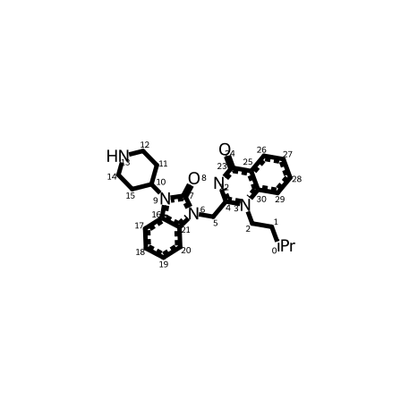 CC(C)CCn1c(Cn2c(=O)n(C3CCNCC3)c3ccccc32)nc(=O)c2ccccc21